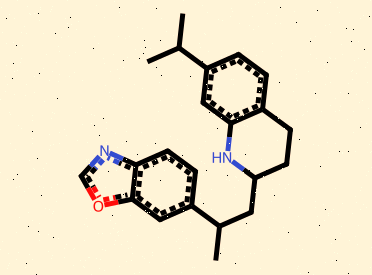 CC(C)c1ccc2c(c1)NC(CC(C)c1ccc3ncoc3c1)CC2